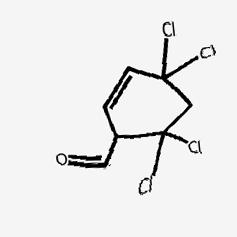 O=[C]C1C=CC(Cl)(Cl)CC1(Cl)Cl